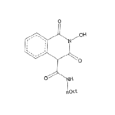 CCCCCCCCNC(=O)C1C(=O)N(O)C(=O)c2ccccc21